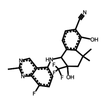 Cc1ncc2c(NC3c4ccc(C#N)c(O)c4C(C)(C)CC3(O)C(F)(F)F)ccc(F)c2n1